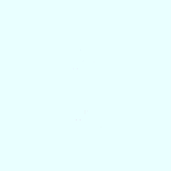 C=C(C)C(=O)OC1CCC(P(=O)=S=S)CC1